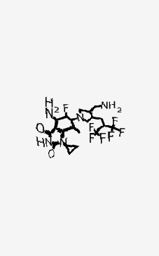 CC1=c2c(c(=O)[nH]c(=O)n2C2CC2)=C(N)C(F)C1N1CC(CN)C(CC(C(F)(F)F)C(F)(F)F)C1